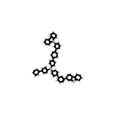 c1ccc(-c2ccc(N(c3ccc(-c4ccc(-c5cccc(-n6c7ccccc7c7ccccc76)c5)cc4)cc3)c3ccc(-c4cccc(-c5ccc6c(c5)oc5ccccc56)c4)cc3)cc2)cc1